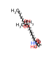 C/C=C/C=C/C=C/C=C/C(O)C(C)C(O)C(C)/C=C/CC/C=C/C=C/C=C/C=C/C(=O)NC1=C(O)CCC1=O